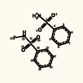 NS(=O)(=O)c1ccccc1.O=S(=O)(NF)c1ccccc1